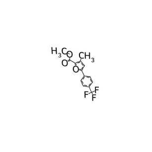 COC(=O)c1oc(-c2ccc(C(F)(F)F)cc2)cc1C